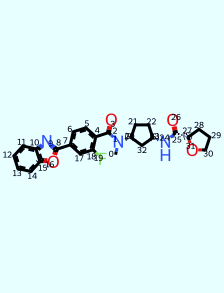 CN(C(=O)c1ccc(-c2nc3ccccc3o2)cc1F)[C@@H]1CC[C@H](NC(=O)[C@@H]2CCCO2)C1